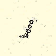 OCc1ncc(-c2cnc(C3C=CN(c4ccc(C(F)(F)F)cn4)CC3)c(Cl)c2)o1